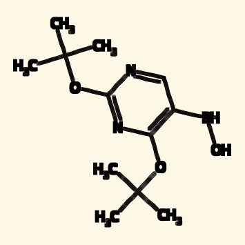 CC(C)(C)Oc1ncc(BO)c(OC(C)(C)C)n1